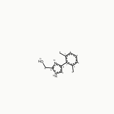 Cc1cccc(C)c1-c1c[nH]c(CO)n1